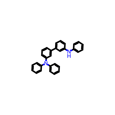 c1ccc(Nc2cccc(-c3cccc(N(c4ccccc4)c4ccccc4)c3)c2)cc1